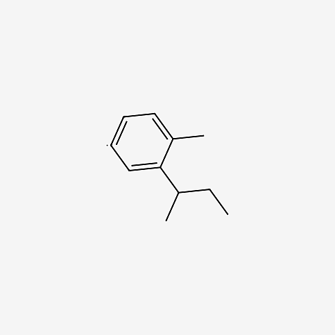 CCC(C)c1c[c]ccc1C